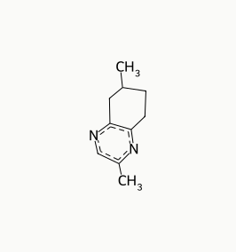 Cc1cnc2c(n1)CCC(C)C2